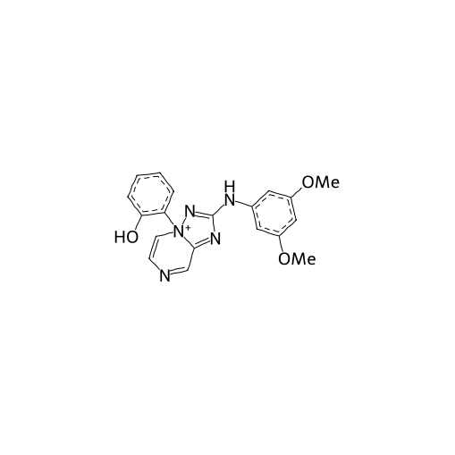 COc1cc(NC2=N[N+]3(c4ccccc4O)C=CN=CC3=N2)cc(OC)c1